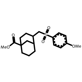 COC(=O)C12CCCC(C1)C(CS(=O)(=O)c1ccc(OC)cc1)CC2